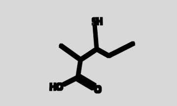 CCC(S)C(C)C(=O)O